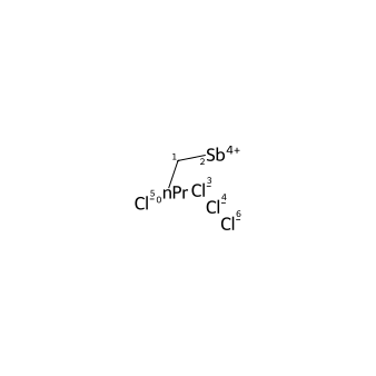 CCC[CH2][Sb+4].[Cl-].[Cl-].[Cl-].[Cl-]